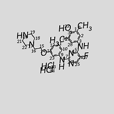 Cc1cc(Nc2nc(Nc3cccc(OCCN4CCNCC4)c3)ncc2F)cc(C)c1O.Cl.Cl